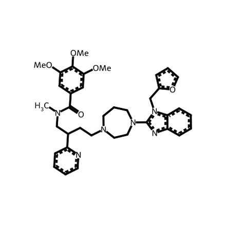 COc1cc(C(=O)N(C)CC(CCN2CCCN(c3nc4ccccc4n3Cc3ccco3)CC2)c2ccccn2)cc(OC)c1OC